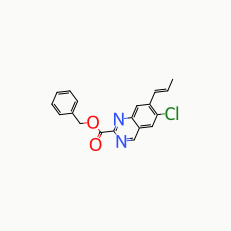 C/C=C/c1cc2nc(C(=O)OCc3ccccc3)ncc2cc1Cl